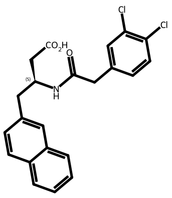 O=C(O)C[C@H](Cc1ccc2ccccc2c1)NC(=O)Cc1ccc(Cl)c(Cl)c1